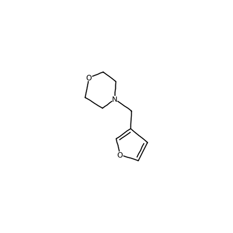 c1cc(CN2CCOCC2)co1